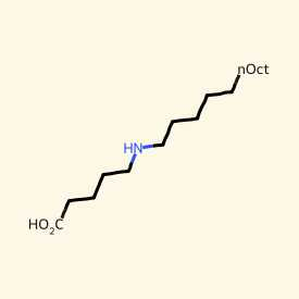 CCCCCCCCCCCCCNCCCCC(=O)O